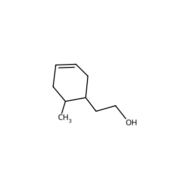 CC1CC=CCC1CCO